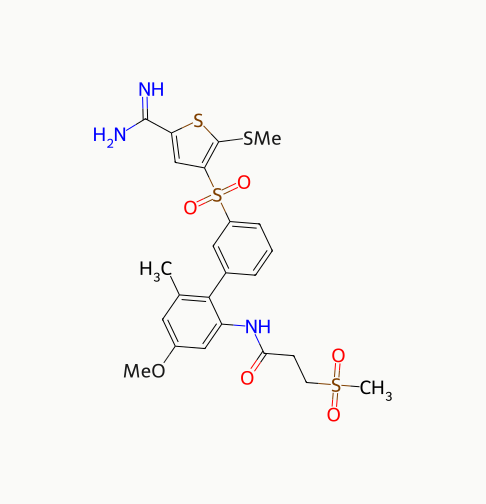 COc1cc(C)c(-c2cccc(S(=O)(=O)c3cc(C(=N)N)sc3SC)c2)c(NC(=O)CCS(C)(=O)=O)c1